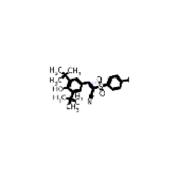 CC(C)(C)c1cc(/C=C(\C#N)S(=O)(=O)c2ccc(I)cc2)cc(C(C)(C)C)c1O